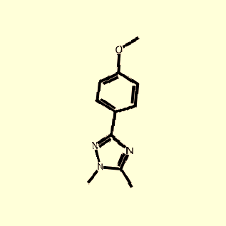 COc1ccc(-c2nc(C)n(C)n2)cc1